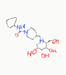 O=C(NC1CCCCC1)N1CCC(CN2C[C@H](O)[C@@H](O)[C@H](O)[C@@H]2CO)CC1